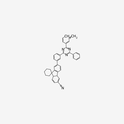 C=C/C=C(\C=C/C)c1nc(-c2ccccc2)nc(-c2cccc(-c3ccc4c(c3)C3(CCCCC3)C3C=CC(C#N)=CC43)c2)n1